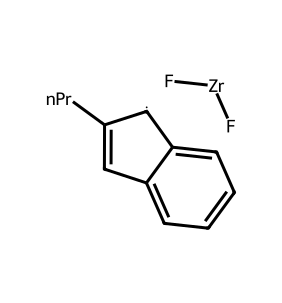 CCCC1=Cc2ccccc2[CH]1.[F][Zr][F]